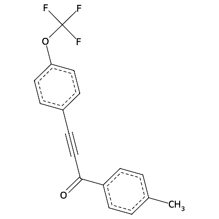 Cc1ccc(C(=O)C#Cc2ccc(OC(F)(F)F)cc2)cc1